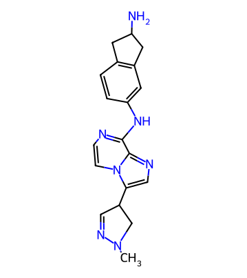 CN1CC(c2cnc3c(Nc4ccc5c(c4)CC(N)C5)nccn23)C=N1